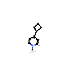 CC(C)(C)[n+]1ccc(C2CCC2)cc1